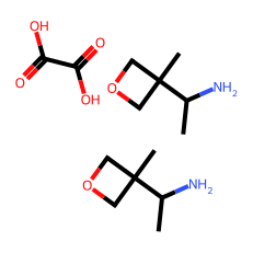 CC(N)C1(C)COC1.CC(N)C1(C)COC1.O=C(O)C(=O)O